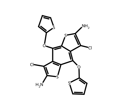 Nc1sc2c(Oc3cccs3)c3c(Cl)c(N)sc3c(Oc3cccs3)c2c1Cl